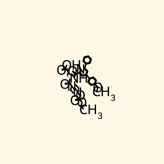 CCOC(=O)ON1CCN(C(=O)[C@H](CCC(=O)O)NC(=O)c2cc(-c3ccc(OC)cc3)cc(-c3ccccc3)n2)CC1